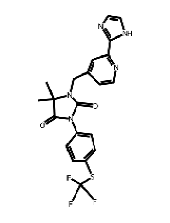 CC1(C)C(=O)N(c2ccc(SC(F)(F)F)cc2)C(=O)N1Cc1ccnc(-c2ncc[nH]2)c1